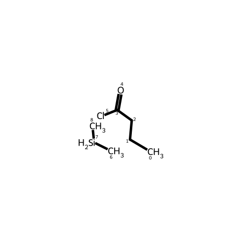 CCCC(=O)Cl.C[SiH2]C